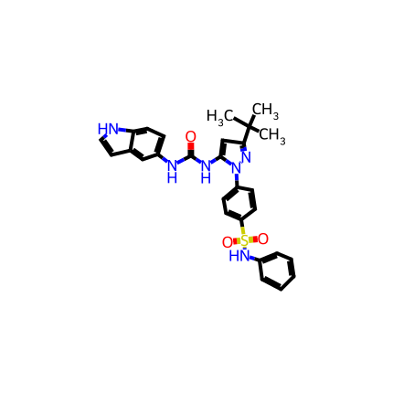 CC(C)(C)c1cc(NC(=O)Nc2ccc3[nH]ccc3c2)n(-c2ccc(S(=O)(=O)Nc3ccccc3)cc2)n1